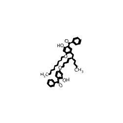 CCCCCCCCCOc1cc(O)c(C(=O)c2ccccc2)cc1CC(CCCC)CCCCOc1ccc(C(=O)c2ccccc2)c(O)c1